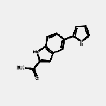 COC(=O)c1cc2cc(-c3ccc[pH]3)ccc2[nH]1